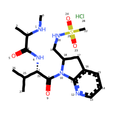 CNC(C)C(=O)N[C@H](C(=O)N1c2ncccc2CC1CNS(C)(=O)=O)C(C)C.Cl